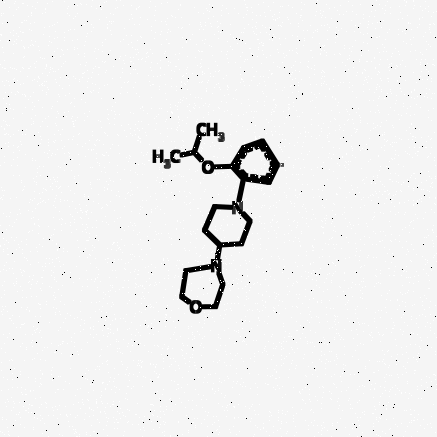 CC(C)Oc1cc[c]cc1N1CCC(N2CCOCC2)CC1